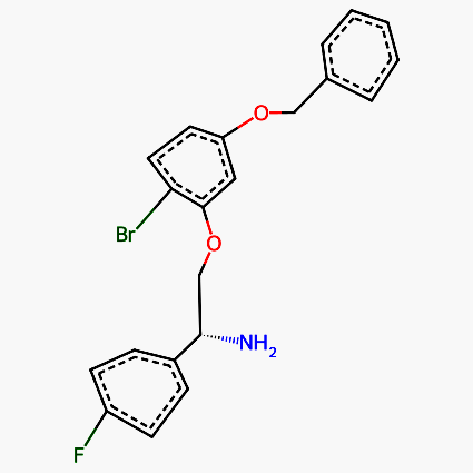 N[C@@H](COc1cc(OCc2ccccc2)ccc1Br)c1ccc(F)cc1